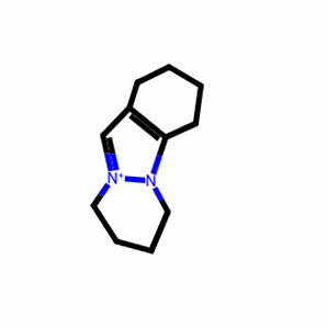 c1c2c(n3[n+]1CCCC3)CCCC2